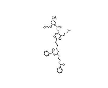 CC1CC(OC=O)N(C(=O)CCNC(CCCO)OC(=O)CCCCC(CCCSC(=O)c2ccccc2)SC(=O)c2ccccc2)C1